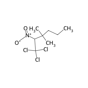 CCCC(C)(C)C([N+](=O)[O-])C(Cl)(Cl)Cl